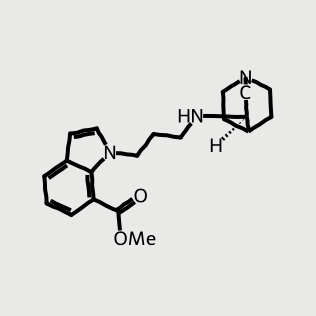 COC(=O)c1cccc2ccn(CCCN[C@H]3CN4CCC3CC4)c12